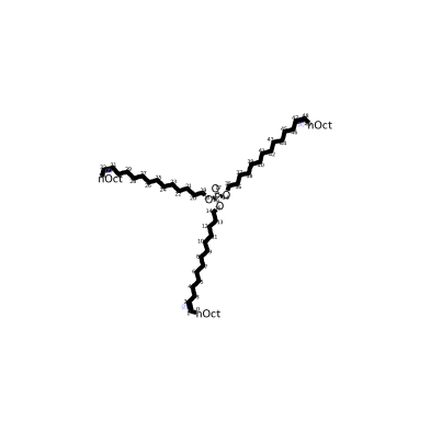 CCCCCCCC/C=C\CCCCCCCCCCCCOP(=O)(OCCCCCCCCCCCC/C=C\CCCCCCCC)OCCCCCCCCCCCC/C=C\CCCCCCCC